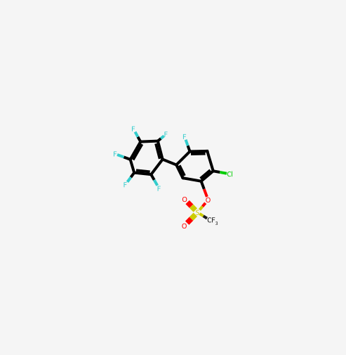 O=S(=O)(Oc1cc(-c2c(F)c(F)c(F)c(F)c2F)c(F)cc1Cl)C(F)(F)F